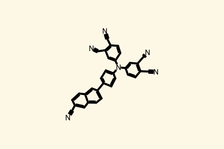 N#Cc1ccc2cc(-c3ccc(N(c4ccc(C#N)c(C#N)c4)c4ccc(C#N)c(C#N)c4)cc3)ccc2c1